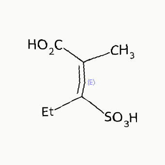 CC/C(=C(/C)C(=O)O)S(=O)(=O)O